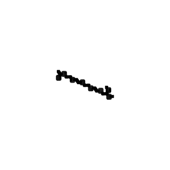 COC(COCCOCCOCCOCCOC(C)=O)OC